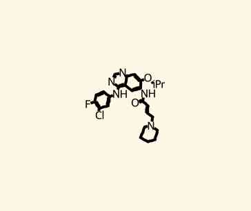 CC(C)Oc1cc2ncnc(Nc3ccc(F)c(Cl)c3)c2cc1NC(=O)C=CCN1CCCCC1